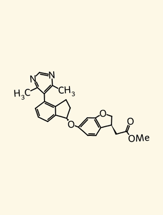 COC(=O)C[C@@H]1COc2cc(O[C@@H]3CCc4c(-c5c(C)ncnc5C)cccc43)ccc21